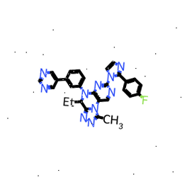 CCC1c2nnc(C)n2-c2cnc(-n3ccnc3-c3ccc(F)cc3)nc2N1c1cccc(-c2cncnc2)c1